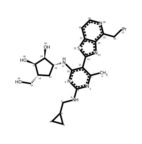 Cc1nc(NCC2CC2)nc(N[C@@H]2C[C@H](CO)[C@@H](O)[C@H]2O)c1-c1nc2c(CC(C)C)nccc2s1